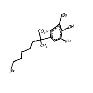 CC(C)CCCCCC(C)(C(=O)O)c1cc(C(C)(C)C)c(O)c(C(C)(C)C)c1